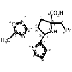 Cc1nc([C@@H]2C[C@@](CC(C)C)(C(=O)O)N[C@H]2c2cccs2)no1